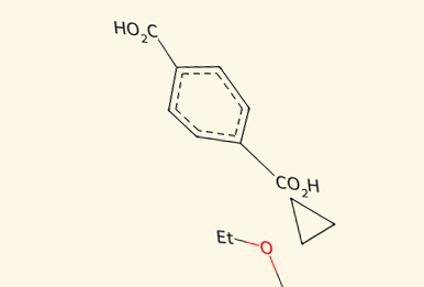 C1CC1.CCOCC.O=C(O)c1ccc(C(=O)O)cc1